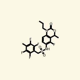 CCCN1C(=O)OC(C)c2c1ccc(NS(=O)(=O)Cc1c(F)c(F)c(C)c(F)c1F)c2F